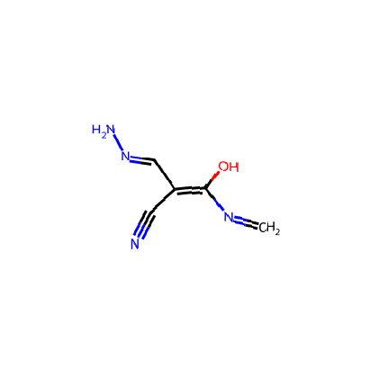 C=NC(O)=C(C#N)C=NN